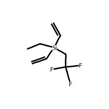 C=C[Si](C=C)(CC)CC(F)(F)F